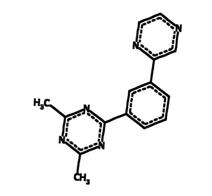 Cc1nc(C)nc(-c2cccc(-c3cnccn3)c2)n1